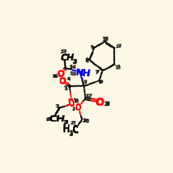 CCOC(=O)C(CC1CCCCC1)(NC(C)=O)C(=O)OCC